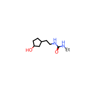 CCNC(=O)NCCC1CCC(O)C1